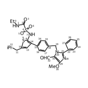 CCNC(=O)S(=O)(=O)Nc1sc(CC(C)C)cc1-c1ccc(Cn2c(-c3ccccc3)nc(OC)c2C=O)cc1